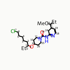 CCC(CCCCCCl)OC1CCN(C(=O)NC2=NC=CC(C(CC)OC)C2)CC1